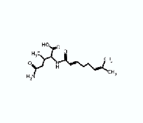 CC(C)=CCCC=CC(=O)NC(C(=O)O)C(C)CC(N)=O